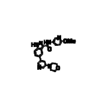 COc1ccc(NC(=O)c2n[nH]c3ccc(-c4cncc(N5CCOCC5)c4)cc23)cn1